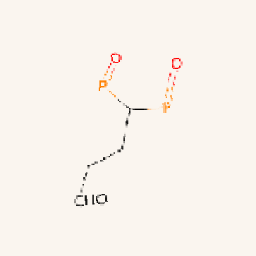 O=CCCC(P=O)P=O